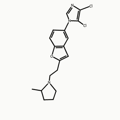 CC1CCCN1CCc1cc2cc(-n3cnc(Cl)c3Cl)ccc2o1